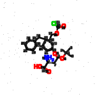 CC(C)(C)OC(=O)C[C@H](N)C(=O)O.O=C(Cl)OCc1cccc2c1Cc1ccccc1-2